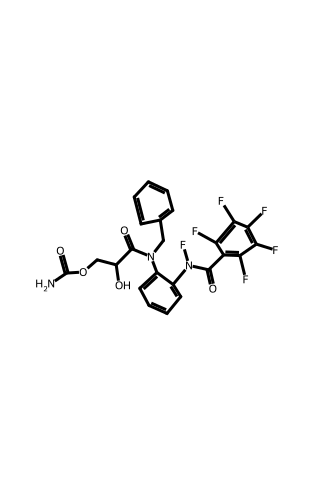 NC(=O)OCC(O)C(=O)N(Cc1ccccc1)c1ccccc1N(F)C(=O)c1c(F)c(F)c(F)c(F)c1F